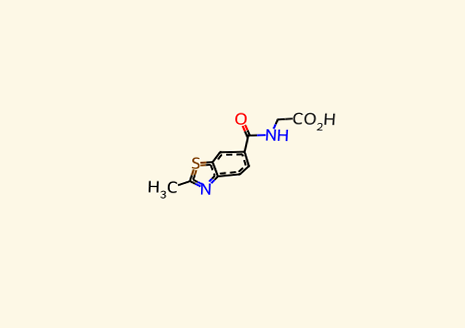 Cc1nc2ccc(C(=O)NCC(=O)O)cc2s1